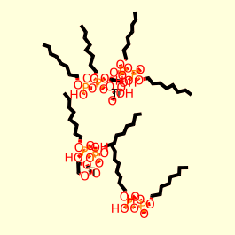 CCCCCCCCOP(=O)(O)OP(=O)(O)OCCCCCCCC.CCCCCCCCOP(=O)(O)OP(=O)(O)OCCCCCCCC.CCCCCCCCOP(=O)(O)OP(=O)(OCCCCCCCC)OC([O][Ti](=[O])[OH])(OP(=O)(OCCCCCCCC)OP(=O)(O)OCCCCCCCC)C(=O)O.[O]=[Ti]1[O]CC[O]1